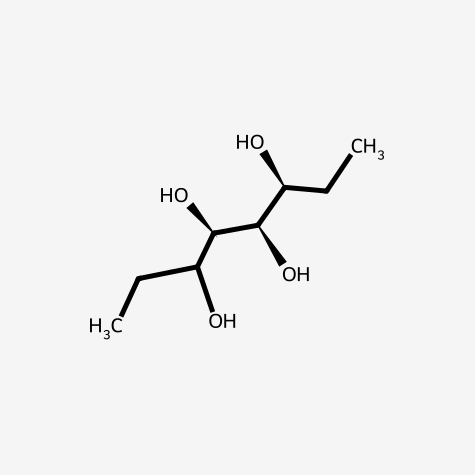 CCC(O)[C@@H](O)[C@H](O)[C@@H](O)CC